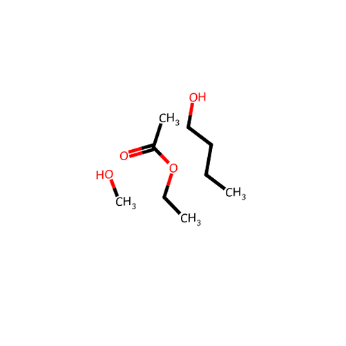 CCCCO.CCOC(C)=O.CO